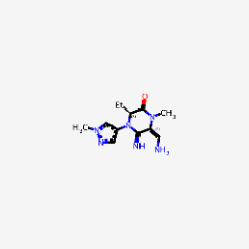 CC[C@H]1C(=O)N(C)/C(=C/N)C(=N)N1c1cnn(C)c1